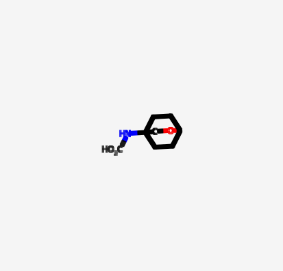 O=C(O)NC12CCC(CC1)OC2